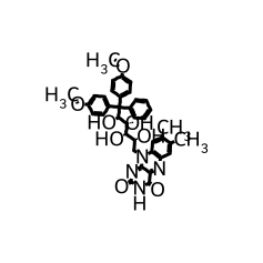 COc1ccc(C(c2ccccc2)(c2ccc(OC)cc2)C(O)[C@H](O)[C@H](O)[C@H](O)Cn2c3nc(=O)[nH]c(=O)c-3nc3cc(C)c(C)cc32)cc1